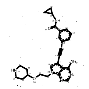 Nc1ncnc2c1c(C#Cc1cccc(C(=O)NC3CC3)c1)cn2CCOC1CCNCC1